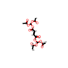 CC(=O)OC(OC(C)=O)OC(=O)/C=C/C(=O)OC(OC(C)=O)OC(C)=O